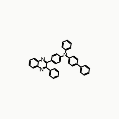 c1ccc(-c2ccc(N(c3ccccc3)c3ccc(-c4nc5ccccc5nc4-c4ccccc4)cc3)cc2)cc1